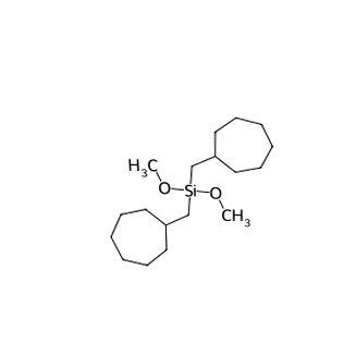 CO[Si](CC1CCCCCC1)(CC1CCCCCC1)OC